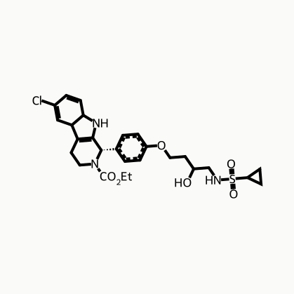 CCOC(=O)N1CCC2=C(NC3C=CC(Cl)=CC23)[C@@H]1c1ccc(OCCC(O)CNS(=O)(=O)C2CC2)cc1